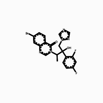 CC(n1cnc2cc(Br)ccc2c1=O)C(O)(Cn1cncn1)c1ccc(F)cc1F